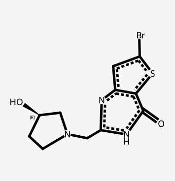 O=c1[nH]c(CN2CC[C@@H](O)C2)nc2cc(Br)sc12